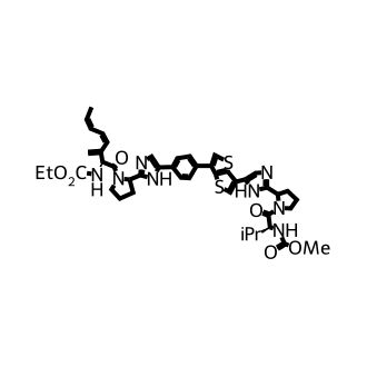 C=C(/C=C\C=C/C)[C@@H](NC(=O)OCC)C(=O)N1CCCC1c1ncc(-c2ccc(-c3csc4c(-c5cnc(C6CCCN6C(=O)[C@@H](NC(=O)OC)C(C)C)[nH]5)csc34)cc2)[nH]1